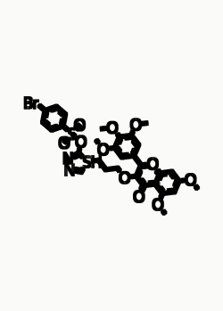 COc1cc(OC)c2c(=O)c(OCCC[SH]3C=NN=C3OS(=O)(=O)c3ccc(Br)cc3)c(-c3cc(OC)c(OC)c(OC)c3)oc2c1